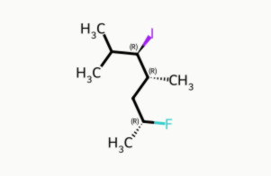 CC(C)[C@@H](I)[C@H](C)C[C@@H](C)F